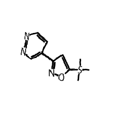 CS(C)(C)c1cc(-c2ccnnc2)no1